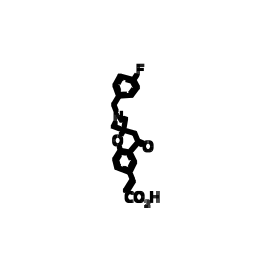 O=C(O)/C=C/c1ccc2c(c1)C(=O)CC1(CN(Cc3ccc(F)cc3)C1)O2